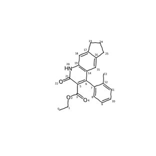 CCOC(=O)c1c(-c2ccccc2C)c2cc3c(cc2[nH]c1=O)CCC3